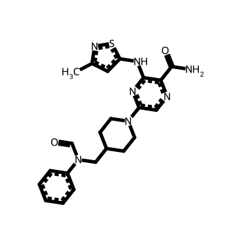 Cc1cc(Nc2nc(N3CCC(CN(C=O)c4ccccc4)CC3)cnc2C(N)=O)sn1